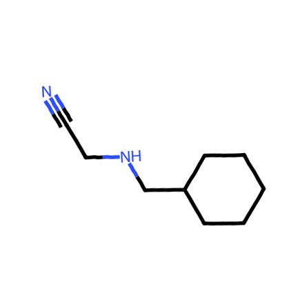 N#CCNCC1CCCCC1